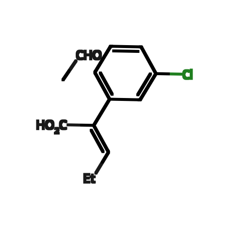 CC=O.CCC=C(C(=O)O)c1cccc(Cl)c1